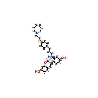 CC1(C)Oc2cc(O)ccc2CC1c1ccc(O)cc1NCCCc1ccc(OCCN2CCCCCC2)cc1